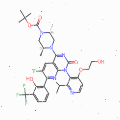 CC(C)c1nccc(OCCO)c1-n1c(=O)nc(N2C[C@@H](C)N(C(=O)OC(C)(C)C)C[C@@H]2C)c2cc(F)c(-c3cccc(C(F)(F)F)c3O)nc21